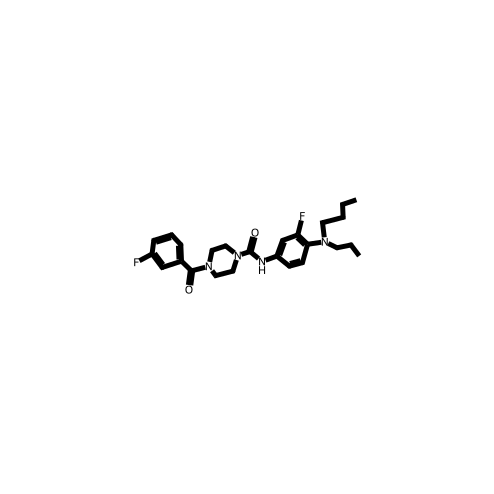 CCCCN(CCC)c1ccc(NC(=O)N2CCN(C(=O)c3cccc(F)c3)CC2)cc1F